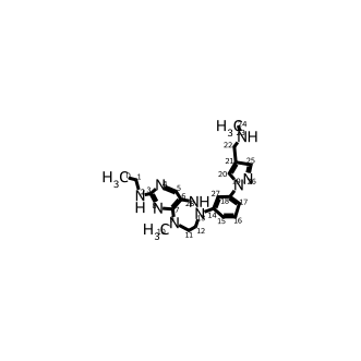 CCNc1ncc2c(n1)N(C)CCN(c1cccc(-n3cc(CNC)cn3)c1)N2